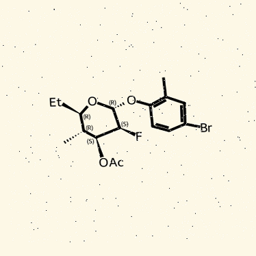 CC[C@H]1O[C@H](Oc2ccc(Br)cc2C)[C@@H](F)[C@@H](OC(C)=O)[C@@H]1C